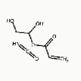 C=CC(=O)OC(O)CO.N=C=O